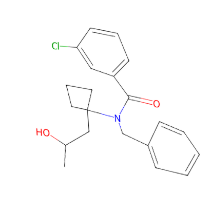 CC(O)CC1(N(Cc2ccccc2)C(=O)c2cccc(Cl)c2)CCC1